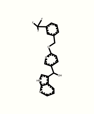 OC(c1ccc(OCc2cccc(C(F)(F)F)c2)nc1)c1c[nH]c2ncccc12